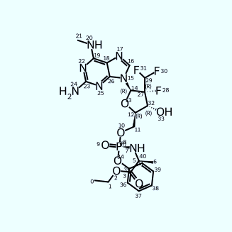 CCOC(=O)[C@H](C)N[P@@](=O)(OC[C@H]1O[C@@H](n2cnc3c(NC)nc(N)nc32)[C@@](F)(C(F)F)[C@@H]1O)Oc1ccccc1